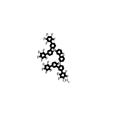 Cc1c(F)c(F)c(-c2ccc3c(c2)c2cc(-c4c(F)c(F)c(F)c(F)c4F)ccc2n3-c2ccc3sc4ccc(-n5c6ccc(-c7c(F)c(F)c(F)c(F)c7F)cc6c6cc(-c7c(F)c(F)c(F)c(F)c7F)ccc65)cc4c3c2)c(F)c1F